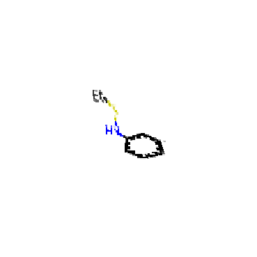 CCSNc1c[c]ccc1